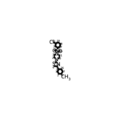 Cc1ccc(-c2csc(N3CCN(S(=O)(=O)c4cccc(Cl)c4)CC3)n2)cc1